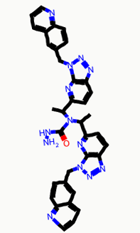 CC(c1ccc2nnn(Cc3ccc4ncccc4c3)c2n1)N(C(=O)NN)C(C)c1ccc2nnn(Cc3ccc4ncccc4c3)c2n1